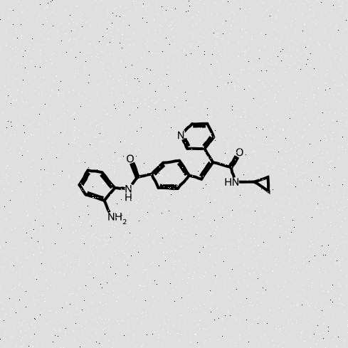 Nc1ccccc1NC(=O)c1ccc(/C=C(/C(=O)NC2CC2)c2cccnc2)cc1